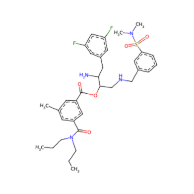 CCCN(CCC)C(=O)c1cc(C)cc(C(=O)OC(CNCc2cccc(S(=O)(=O)N(C)C)c2)C(N)Cc2cc(F)cc(F)c2)c1